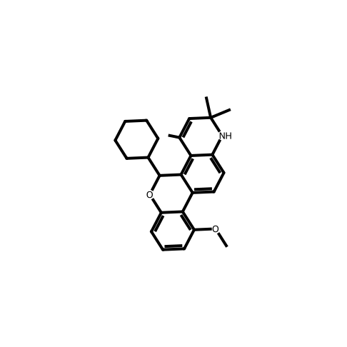 COc1cccc2c1-c1ccc3c(c1C(C1CCCCC1)O2)C(C)=CC(C)(C)N3